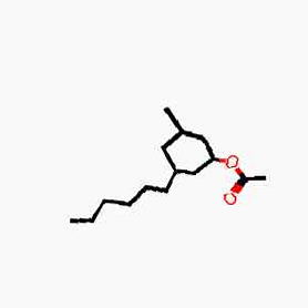 CCCCCCC1CC(C)CC(OC(C)=O)C1